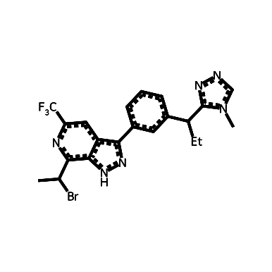 CCC(c1cccc(-c2n[nH]c3c(C(C)Br)nc(C(F)(F)F)cc23)c1)c1nncn1C